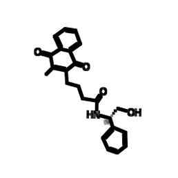 CC1=C(CCCC(=O)N[C@H](CO)c2ccccc2)C(=O)c2ccccc2C1=O